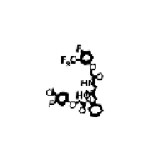 O=C(COc1ccc(F)c(C(F)(F)F)c1)NC[C@@H](O)CC1(NC(=O)COc2ccc(Cl)c(F)c2)CCCCC1